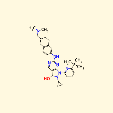 CN(C)CC1CCc2cc(Nc3ncc4c(n3)N(c3cccc(C(C)(C)C)n3)N(C3CC3)C4O)ccc2C1